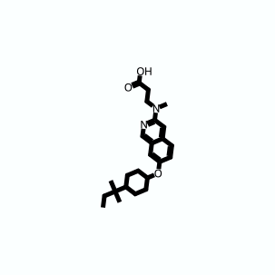 CCC(C)(C)C1CCC(Oc2ccc3cc(N(C)CCC(=O)O)ncc3c2)CC1